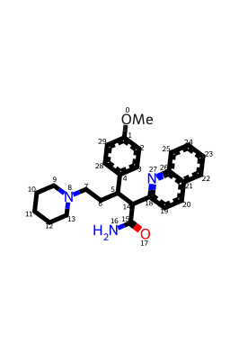 COc1ccc(C(CCN2CCCCC2)C(C(N)=O)c2ccc3ccccc3n2)cc1